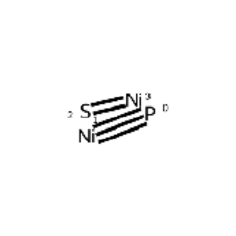 [P]#[Ni].[S]=[Ni]